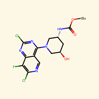 CC(C)(C)OC(=O)N[C@@H]1C[C@@H](O)CN(c2nc(Cl)nc3c(F)c(Cl)ncc23)C1